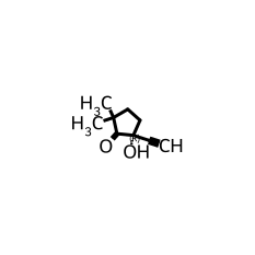 C#C[C@]1(O)CCC(C)(C)C1=O